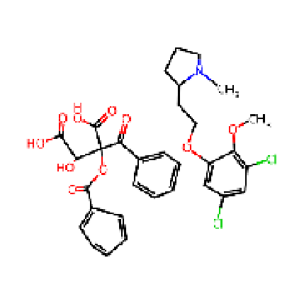 COc1c(Cl)cc(Cl)cc1OCCC1CCCN1C.O=C(OC(C(=O)O)(C(=O)c1ccccc1)C(O)C(=O)O)c1ccccc1